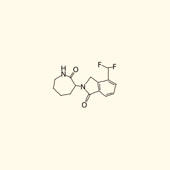 O=C1NCCCCC1N1Cc2c(cccc2C(F)F)C1=O